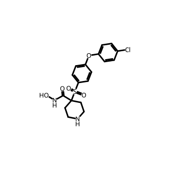 O=C(NO)C1(S(=O)(=O)c2ccc(Oc3ccc(Cl)cc3)cc2)CCNCC1